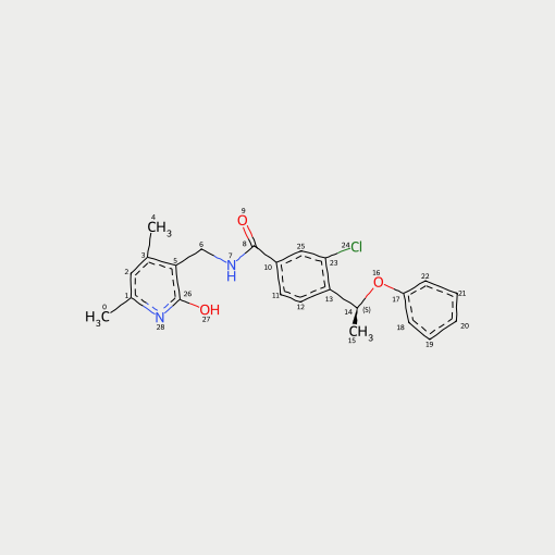 Cc1cc(C)c(CNC(=O)c2ccc([C@H](C)Oc3ccccc3)c(Cl)c2)c(O)n1